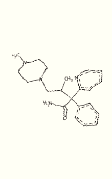 CC(CN1CCN(C)CC1)C(C(N)=O)(c1ccccc1)c1ccccn1